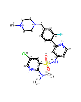 CC(C)N1CCN(Cc2ccc(-c3cc(NS(=O)(=O)c4cc(Cl)cnc4N(C)C)ccn3)c(F)c2)CC1